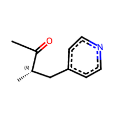 CC(=O)[C@@H](C)Cc1ccncc1